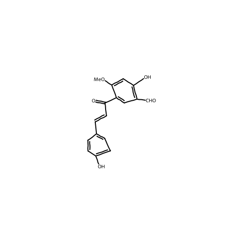 COc1cc(O)c(C=O)cc1C(=O)C=Cc1ccc(O)cc1